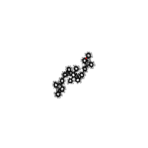 c1ccc(-c2c3c4cccc5c6ccc(-c7ccc(N(c8ccccc8)c8cccc9c8oc8ccccc89)cc7)cc6n(c3c(-c3ccccc3)c3c6cccc7c8ccc(-c9ccc(N(c%10ccccc%10)c%10cccc%11c%10oc%10ccccc%10%11)cc9)cc8n(c23)c76)c54)cc1